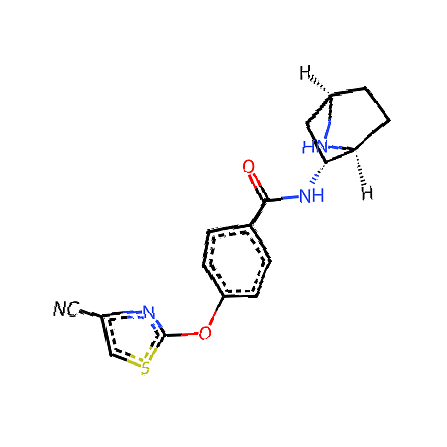 N#Cc1csc(Oc2ccc(C(=O)N[C@@H]3C[C@H]4CC[C@@H]3N4)cc2)n1